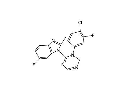 Cc1nc2ccc(F)cc2n1C1=NC=NCN1c1ccc(Cl)c(F)c1